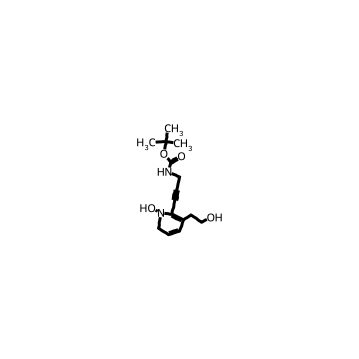 CC(C)(C)OC(=O)NCC#CC1=C(CCO)C=CCN1O